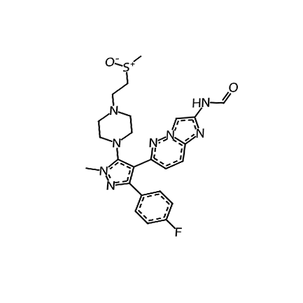 Cn1nc(-c2ccc(F)cc2)c(-c2ccc3nc(NC=O)cn3n2)c1N1CCN(CC[S+](C)[O-])CC1